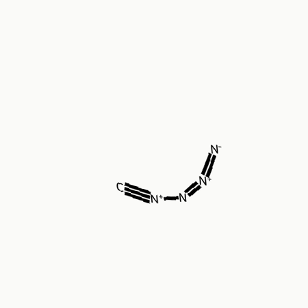 [C-]#[N+]N=[N+]=[N-]